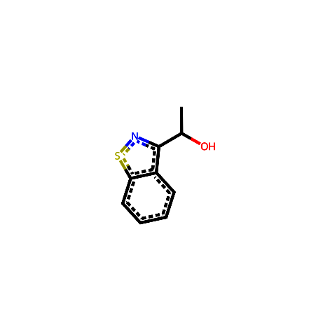 CC(O)c1nsc2ccccc12